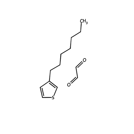 CCCCCCCc1ccsc1.O=CC=O